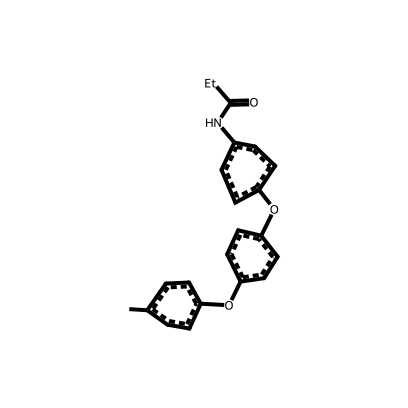 CCC(=O)Nc1ccc(Oc2ccc(Oc3ccc(C)cc3)cc2)cc1